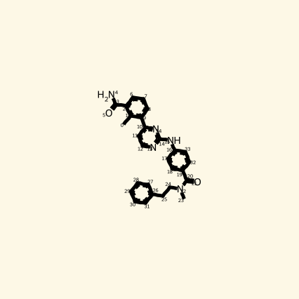 Cc1c(C(N)=O)cccc1-c1ccnc(Nc2ccc(C(=O)N(C)CCc3ccccc3)cc2)n1